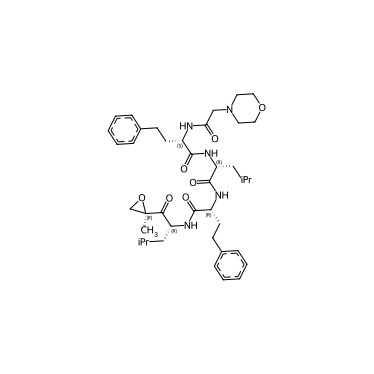 CC(C)C[C@@H](NC(=O)[C@H](CCc1ccccc1)NC(=O)CN1CCOCC1)C(=O)N[C@H](CCc1ccccc1)C(=O)N[C@H](CC(C)C)C(=O)[C@@]1(C)CO1